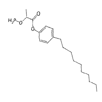 CCCCCCCCCCc1ccc(OC(=O)C(C)OP)cc1